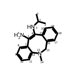 CC(C)N/C1=C(\N)c2ccccc2N(C)Cc2ccccc21